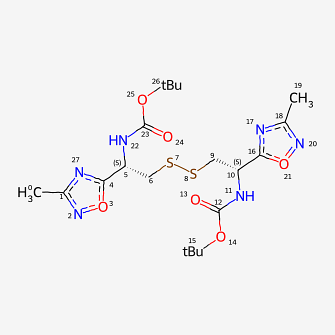 Cc1noc([C@@H](CSSC[C@@H](NC(=O)OC(C)(C)C)c2nc(C)no2)NC(=O)OC(C)(C)C)n1